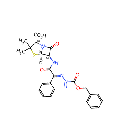 CC1(C)S[C@@H]2[C@H](NC(=O)C(=NNC(=O)OCc3ccccc3)c3ccccc3)C(=O)N2[C@H]1C(=O)O